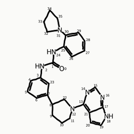 O=C(Nc1cccc(C2CCCN(c3ncnc4[nH]ccc34)C2)c1)Nc1ccccc1N1CCCC1